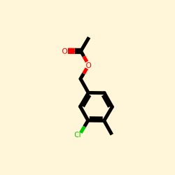 CC(=O)OCc1ccc(C)c(Cl)c1